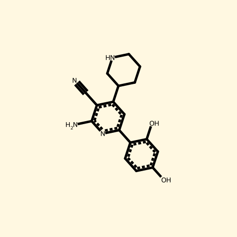 N#Cc1c(C2CCCNC2)cc(-c2ccc(O)cc2O)nc1N